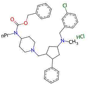 CCCN(C(=O)OCc1ccccc1)C1CCN(CC2CC(N(C)Cc3cccc(Cl)c3)CC2c2ccccc2)CC1.Cl